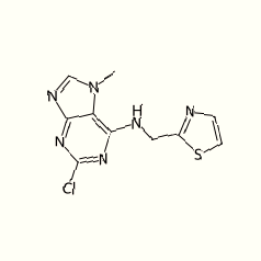 Cn1cnc2nc(Cl)nc(NCc3nccs3)c21